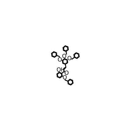 O=C(C=Cc1cc(OCc2ccccc2)c(OCc2ccccc2)c(OCc2ccccc2)c1)c1c(O)cccc1OCc1ccccc1